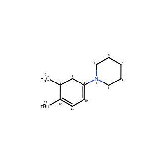 CC1CC(N2CCCCC2)=CC=C1C(C)(C)C